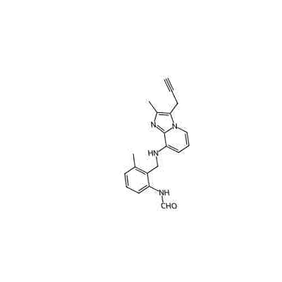 C#CCc1c(C)nc2c(NCc3c(C)cccc3NC=O)cccn12